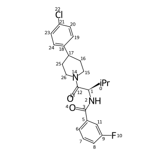 CC(C)[C@@H](NC(=O)c1cccc(F)c1)C(=O)N1CCC(c2ccc(Cl)cc2)CC1